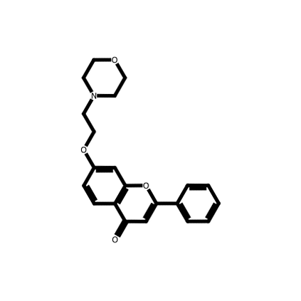 O=c1cc(-c2ccccc2)oc2cc(OCCN3CCOCC3)ccc12